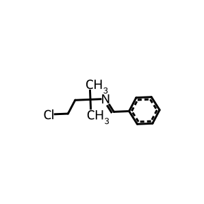 CC(C)(CCCl)N=Cc1ccccc1